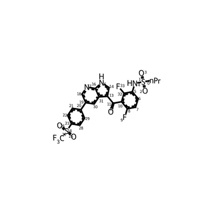 CCCS(=O)(=O)Nc1ccc(F)c(C(=O)c2c[nH]c3ncc(-c4ccc(S(=O)(=O)C(F)(F)F)cc4)cc23)c1F